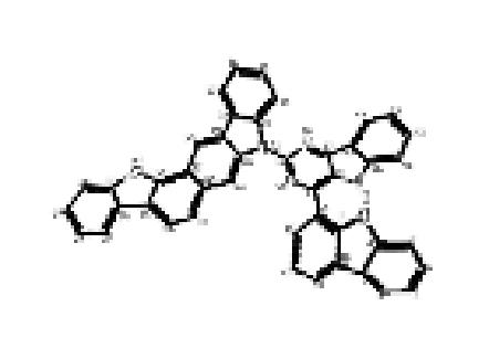 c1ccc2c(c1)oc1c(-c3nc(-n4c5ccccc5c5cc6c(ccc7c8ccccc8oc67)cc54)nc4c3sc3ccccc34)cccc12